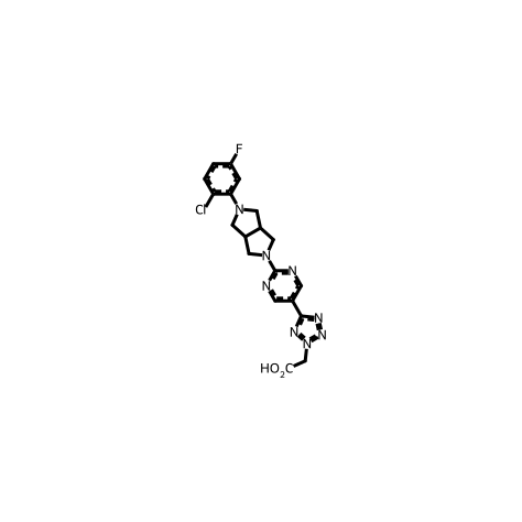 O=C(O)Cn1nnc(-c2cnc(N3CC4CN(c5cc(F)ccc5Cl)CC4C3)nc2)n1